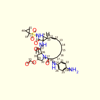 CC1(S(=O)(=O)NC(=O)[C@@]23C[C@@H]2/C=C\CCCCC[C@H](Nc2ccc(N)cc2)C(=O)N2C[C@H](OC=O)C[C@H]2C(=O)N3)CC1